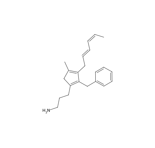 C/C=C\C=C\CC1=C(C)CC(CCCN)=C1Cc1ccccc1